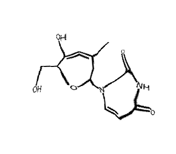 CC1=C(O)C(CO)OC1n1ccc(=O)[nH]c1=O